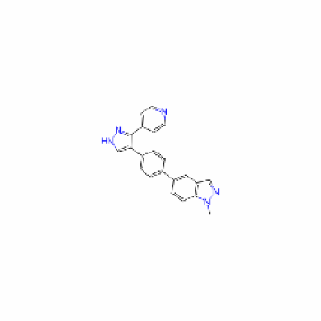 Cn1ncc2cc(-c3ccc(-c4c[nH]nc4-c4ccncc4)cc3)ccc21